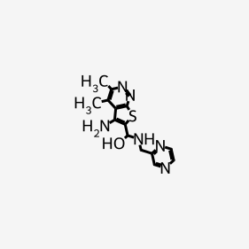 Cc1nnc2sc(C(O)NCc3cnccn3)c(N)c2c1C